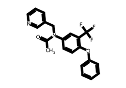 CC(=O)N(Cc1cccnc1)c1ccc(Oc2ccccc2)c(C(F)(F)F)c1